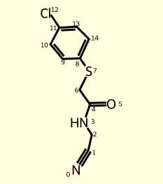 N#CCNC(=O)CSc1ccc(Cl)cc1